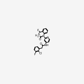 CC(=O)N(c1cc(NC(=O)Cc2cccc(F)c2Cl)ccn1)c1ccccc1C(F)F